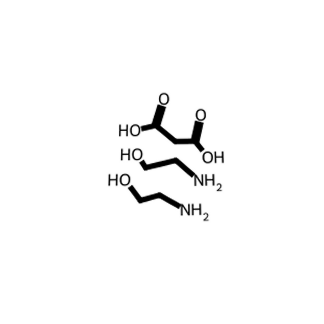 NCCO.NCCO.O=C(O)CC(=O)O